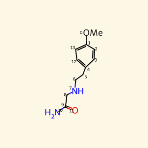 COc1ccc(CCNCC(N)=O)cc1